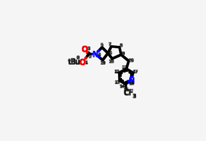 CC(C)(C)OC(=O)N1CC2(CCC(Cc3ccc(C(F)(F)F)nc3)C2)C1